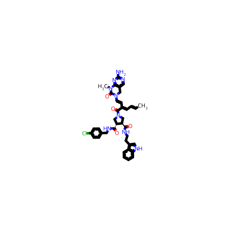 C/C=C/C=C(\C=C\N1Cc2cnc(N)nc2N(C)C1=O)C(=O)N1C[C@@H](C(=O)NCCc2c[nH]c3ccccc23)[C@H](C(=O)NCc2ccc(Cl)cc2)C1